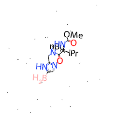 Bc1cnc(CN(CCCC)C(=O)[C@@H](NC(=O)OC)C(C)C)[nH]1